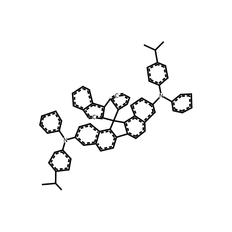 CC(C)c1ccc(N(c2ccccc2)c2ccc3c4c(ccc3c2)-c2ccc3cc(N(c5ccccc5)c5ccc(C(C)C)cc5)ccc3c2C42c3ccccc3-c3c2ccc2ccccc32)cc1